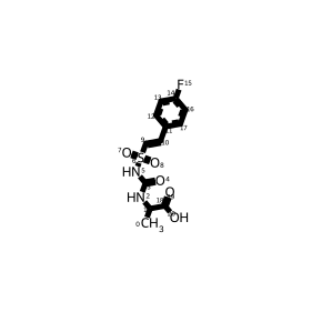 CC(NC(=O)NS(=O)(=O)C=Cc1ccc(F)cc1)C(=O)O